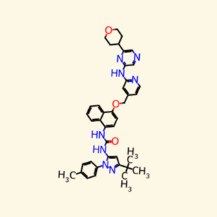 Cc1ccc(-n2nc(C(C)(C)C)cc2NC(=O)Nc2ccc(OCc3ccnc(Nc4cncc(C5CCOCC5)n4)c3)c3ccccc23)cc1